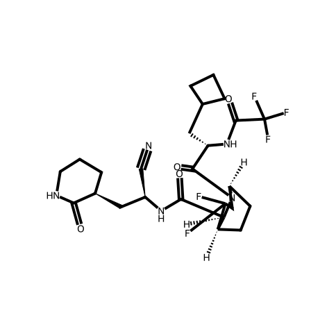 N#C[C@H](C[C@@H]1CCCNC1=O)NC(=O)[C@@H]1[C@@H]2CC[C@@H](CC2(F)F)N1C(=O)[C@H](CC1CCC1)NC(=O)C(F)(F)F